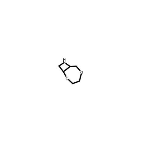 C1COCC2NCC2C1